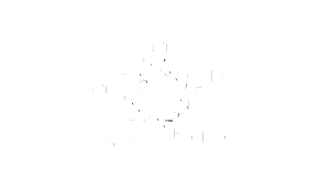 CC(C)OP1(F)=NP(F)(CC=O)=NP(F)(CC=O)=NP(F)(OC(C)C)=NP(F)(OC(C)C)=N1